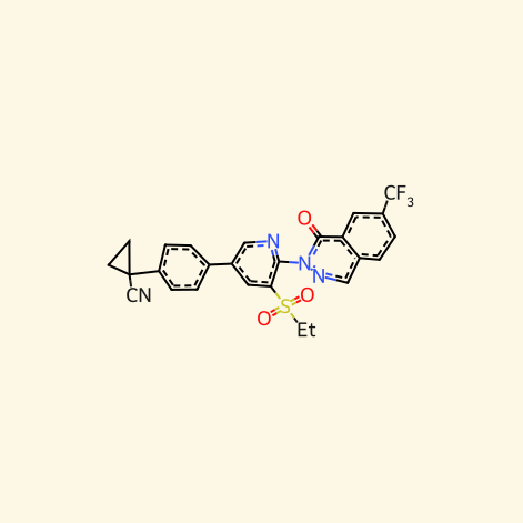 CCS(=O)(=O)c1cc(-c2ccc(C3(C#N)CC3)cc2)cnc1-n1ncc2ccc(C(F)(F)F)cc2c1=O